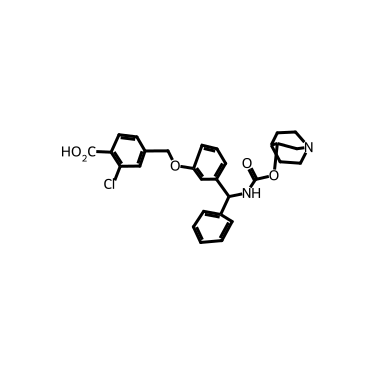 O=C(NC(c1ccccc1)c1cccc(OCc2ccc(C(=O)O)c(Cl)c2)c1)OC1CN2CCC1CC2